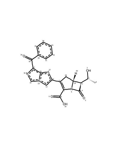 C[C@@H](O)[C@H]1C(=O)N2C(C(=O)O)=C(c3cn4cnc(C(=O)c5ccccc5)c4s3)C[C@H]12